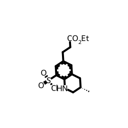 CCOC(=O)CCc1cc2c(c(S(=O)(=O)Cl)c1)NC[C@@H](C)C2